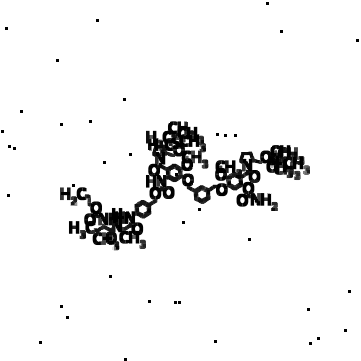 C=CCOC(=O)NC(C(=O)NC(C)C(=O)Nc1ccc(COC(=O)Nc2cc(OCc3cccc(COc4cc(OC(N)=O)c(C(=O)N5CCCC5CO[Si](C)(C)C(C)(C)C)cc4OC)c3)c(OC)cc2C(=O)N2CCCC2CO[Si](C)(C)C(C)(C)C)cc1)C(C)C